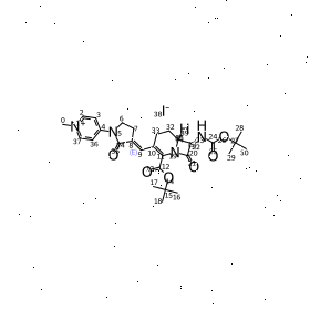 C[n+]1ccc(N2CC/C(=C\C3=C(C(=O)OC(C)(C)C)N4C(=O)[C@@H](NC(=O)OC(C)(C)C)[C@H]4CC3)C2=O)cc1.[I-]